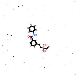 CC[Si](O)(O)CCc1cccc(C(=O)Nc2ccccc2)c1